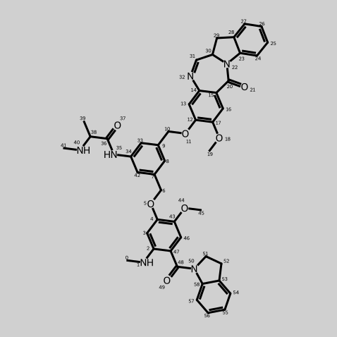 CNc1cc(OCc2cc(COc3cc4c(cc3OC)C(=O)N3c5ccccc5CC3C=N4)cc(NC(=O)C(C)NC)c2)c(OC)cc1C(=O)N1CCc2ccccc21